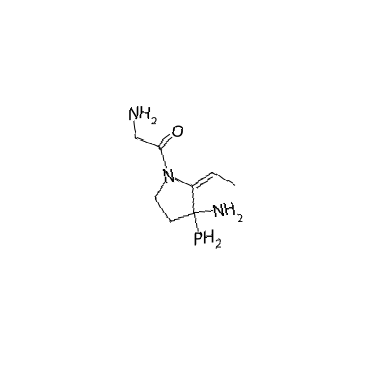 CC=C1N(C(=O)CN)CCC1(N)P